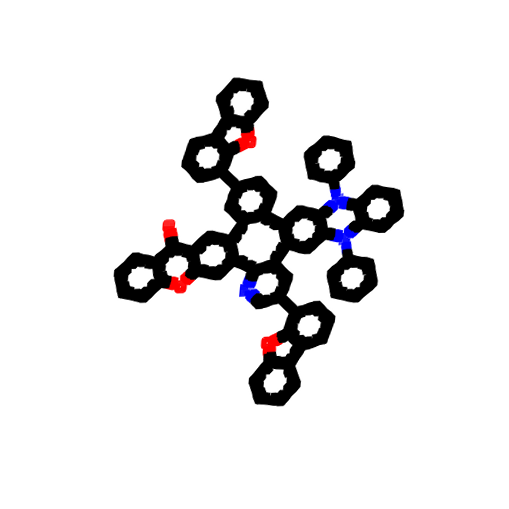 O=c1c2ccccc2oc2cc3c(cc12)c1cc(-c2cccc4c2oc2ccccc24)ccc1c1cc2c(cc1c1cc(-c4cccc5c4oc4ccccc45)cnc13)n(-c1ccccc1)c1ccccc1n2-c1ccccc1